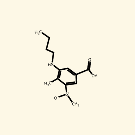 CCCCNc1cc(C(=O)O)cc([S+](C)[O-])c1C